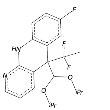 CC(C)OC(OC(C)C)C1(C(C)(F)F)c2cc(F)ccc2Nc2ncccc21